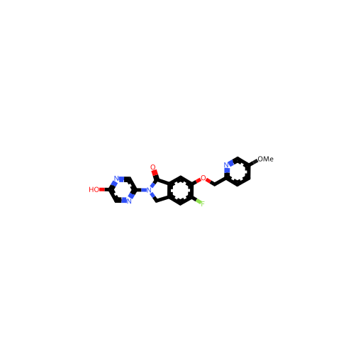 COc1ccc(COc2cc3c(cc2F)CN(c2cnc(O)cn2)C3=O)nc1